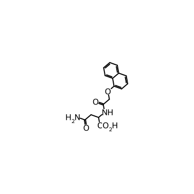 NC(=O)CC(NC(=O)COc1cccc2ccccc12)C(=O)O